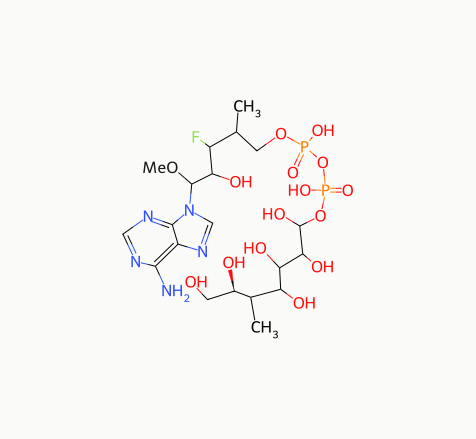 COC(C(O)C(F)C(C)COP(=O)(O)OP(=O)(O)OC(O)C(O)C(O)C(O)C(C)[C@H](O)CO)n1cnc2c(N)ncnc21